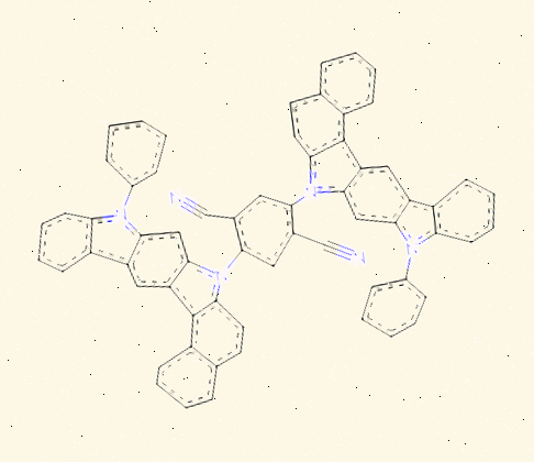 N#Cc1cc(-n2c3cc4c(cc3c3c5ccccc5ccc32)c2ccccc2n4-c2ccccc2)c(C#N)cc1-n1c2cc3c(cc2c2c4ccccc4ccc21)c1ccccc1n3-c1ccccc1